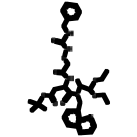 CCOC(OCC)C(C)N(Cc1cccc2cccnc12)C(=O)C(CC(=O)OC(C)(C)C)NC(=O)CONC(=O)NCc1ccccc1